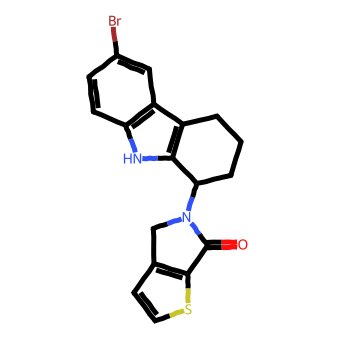 O=C1c2sccc2CN1C1CCCc2c1[nH]c1ccc(Br)cc21